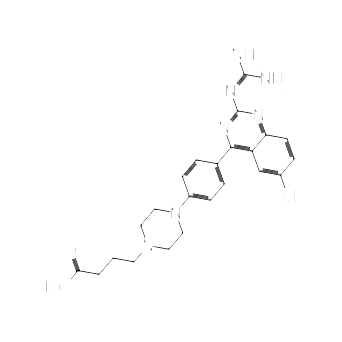 NC(N)=Nc1nc(-c2ccc(N3CCN(CCCC(=O)O)CC3)cc2)c2cc(Cl)ccc2n1